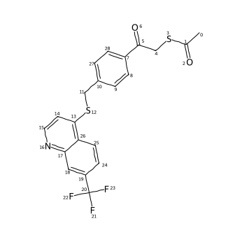 CC(=O)SCC(=O)c1ccc(CSc2ccnc3cc(C(F)(F)F)ccc23)cc1